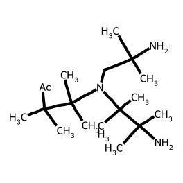 CC(=O)C(C)(C)C(C)(C)N(CC(C)(C)N)C(C)(C)C(C)(C)N